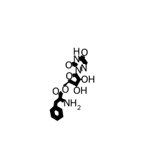 NC(Cc1ccccc1)C(=O)OC[C@H]1O[C@@H](n2ncc(=O)[nH]c2=O)[C@H](O)[C@@H]1O